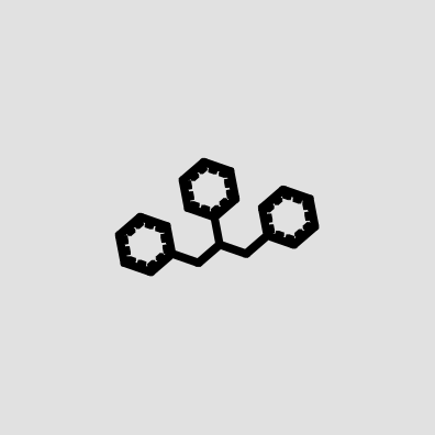 c1ccc(CC(Cc2ccccc2)c2ccccc2)cc1